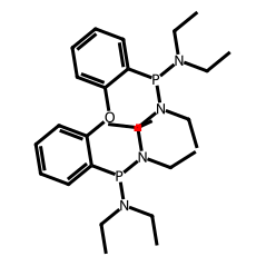 CCN(CC)P(c1ccccc1Oc1ccccc1P(N(CC)CC)N(CC)CC)N(CC)CC